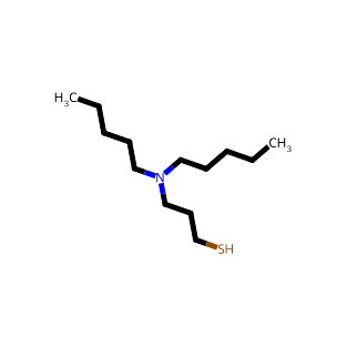 CCCCCN(CCCS)CCCCC